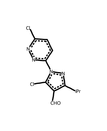 CC(C)c1nn(-c2ccc(Cl)nn2)c(Cl)c1C=O